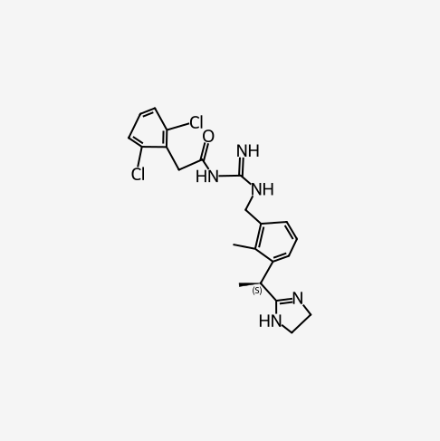 Cc1c(CNC(=N)NC(=O)Cc2c(Cl)cccc2Cl)cccc1[C@H](C)C1=NCCN1